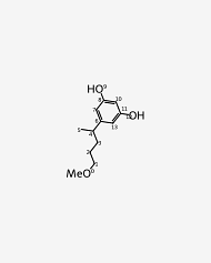 COCCCC(C)c1cc(O)cc(O)c1